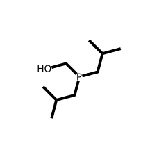 CC(C)CP(CO)CC(C)C